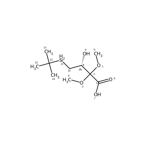 COC(OC)(C(=O)O)[C@@H](O)C[SiH2]C(C)(C)C